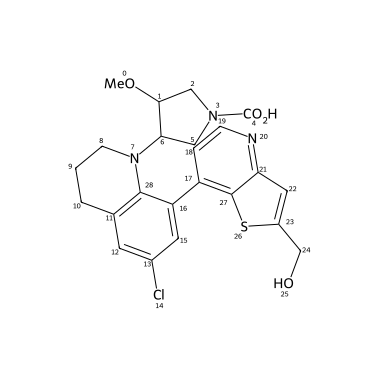 COC1CN(C(=O)O)CC1N1CCCc2cc(Cl)cc(-c3ccnc4cc(CO)sc34)c21